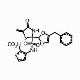 C=C1SC(C2OC=C(Cc3ccccc3)O2)(S(=O)(=O)Nc2ccsc2C(=O)O)NC1=O